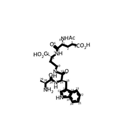 CC(=O)N[C@H](CCC(=O)O)C(=O)N[C@H](CCNC(=O)[C@@H](Cc1c[nH]c2ccccc12)NC(=O)[C@H](C)N)C(=O)O